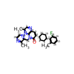 Cc1cnc2cc([C@H]3CC[C@@H](c4c(C)cccc4F)CC3)c(=O)n(Cc3nccnc3C)c2n1